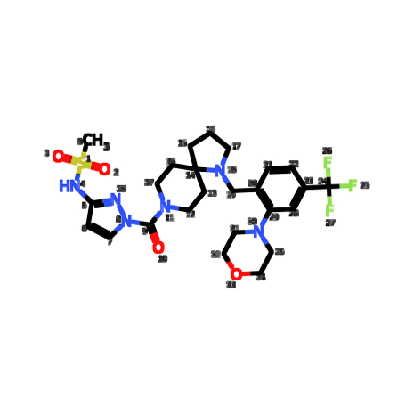 CS(=O)(=O)Nc1ccn(C(=O)N2CCC3(CCCN3Cc3ccc(C(F)(F)F)cc3N3CCOCC3)CC2)n1